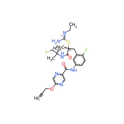 C#CCOc1cnc(C(=O)Nc2ccc(F)c(C[C@@](C)(S/C(N)=N\CC)C(=O)NC(C)(C)CF)c2)cn1